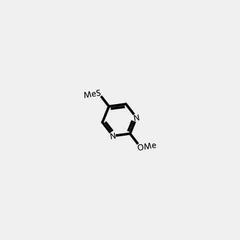 COc1ncc(SC)cn1